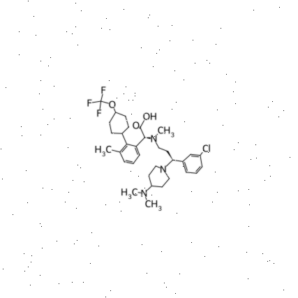 Cc1cccc([C@@H](C(=O)O)N(C)CC[C@@H](c2cccc(Cl)c2)N2CCC(N(C)C)CC2)c1C1CCC(OC(F)(F)F)CC1